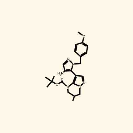 COc1ccc(Cn2ncc(N)c2-c2cnn3c2N(C(=O)OC(C)(C)C)CC(C)C3)cc1